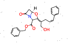 O=C(OCc1ccccc1)C1/C(=C(\CO)C/C=C\c2ccccc2)O[C@@H]2CC(=O)N12